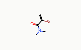 C=C(Br)C(=O)N(C)C